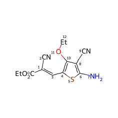 CCOC(=O)C(C#N)=Cc1sc(N)c(C#N)c1OCC